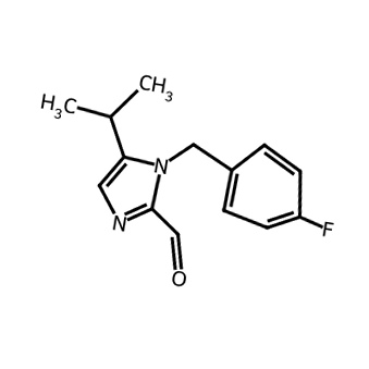 CC(C)c1cnc(C=O)n1Cc1ccc(F)cc1